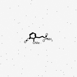 COC1C(=C=O)C=CC=C1CCS(N)(=O)=O